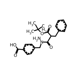 CC(C)(C)OC(=O)C(Cc1ccccc1)C(=O)N(N)Cc1ccc(C(=O)O)cc1